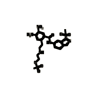 CS(=O)(=O)OCCNCCc1cc(N)c([N+](=O)[O-])cc1C(=O)Nc1ccc2cnn(S(C)(=O)=O)c2c1